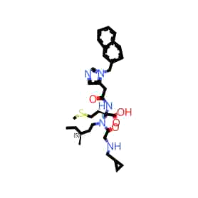 CC[C@H](C)CCN(C(=O)CNCC1CC1)[C@](CCSC)(NC(=O)Cc1cncn1Cc1ccc2ccccc2c1)C(=O)O